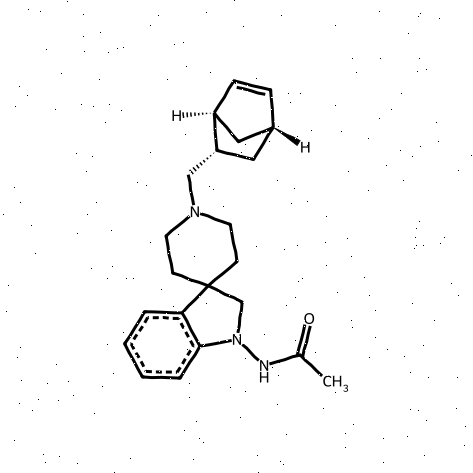 CC(=O)NN1CC2(CCN(C[C@H]3C[C@H]4C=C[C@H]3C4)CC2)c2ccccc21